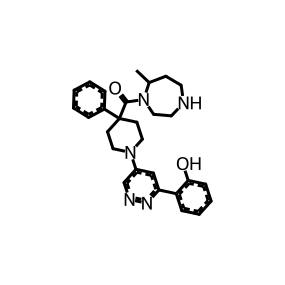 CC1CCNCCN1C(=O)C1(c2ccccc2)CCN(c2cnnc(-c3ccccc3O)c2)CC1